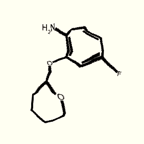 Nc1ccc(F)cc1OC1CCCCO1